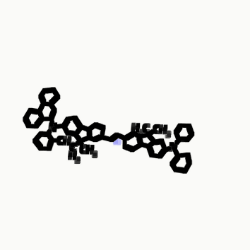 Cc1ccccc1N(c1ccc2c(c1)C(C)(C)c1cc(/C=C/c3ccc4c(c3)C(C)(C)c3cc(N(c5ccccc5)c5ccccc5)ccc3-4)ccc1-2)c1cc2ccccc2c2ccccc12